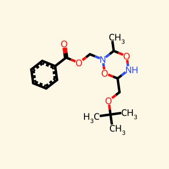 CC1ONC(COC(C)(C)C)ON1COC(=O)c1ccccc1